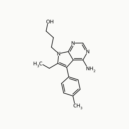 CCc1c(-c2ccc(C)cc2)c2c(N)ncnc2n1CCCO